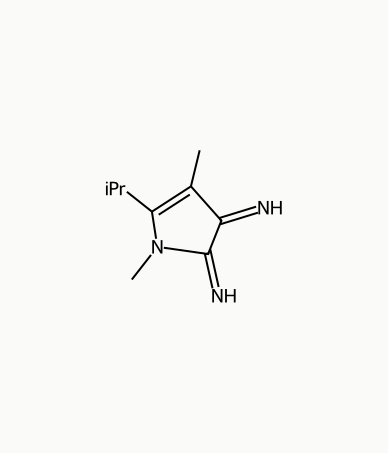 CC1=C(C(C)C)N(C)C(=N)C1=N